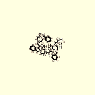 CC(O)CN1CC[N+](Cc2ccccc2)(CC(O)CN2CC[N+](Cc3ccccc3)(CC(O)CN3CC[N+](C)(Cc4ccccc4)CC3)CC2)CC1